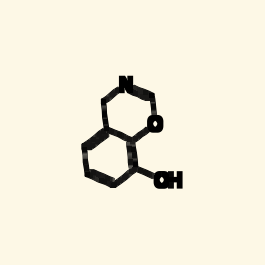 Oc1cccc2c1OC=NC2